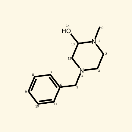 CN1CCN(Cc2ccccc2)CC1O